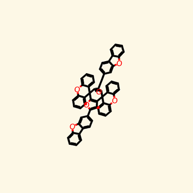 c1ccc2c(c1)Oc1ccccc1C21c2cc(-c3ccc4c(c3)oc3ccccc34)oc2C2(c3ccccc3Oc3ccccc32)c2cc(-c3ccc4c(c3)oc3ccccc34)oc21